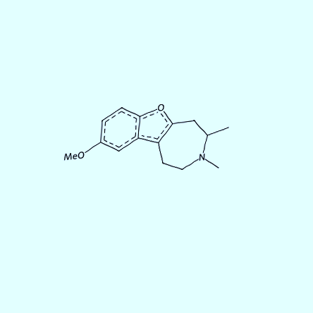 COc1ccc2oc3c(c2c1)CCN(C)C(C)C3